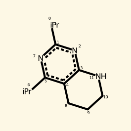 CC(C)c1nc2c(c(C(C)C)n1)CCCN2